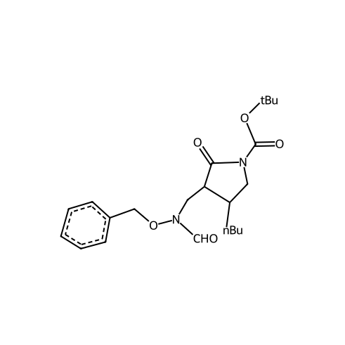 CCCCC1CN(C(=O)OC(C)(C)C)C(=O)C1CN(C=O)OCc1ccccc1